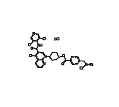 CCN(CC)Cc1ccc(C(=O)OC2CCC(n3cc(C(=O)Nc4c(Cl)cncc4Cl)c(=O)c4cccnc43)CC2)cc1.Cl